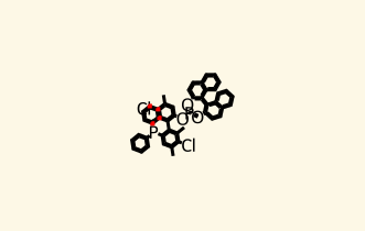 Cc1cc(Op2oc3ccc4ccccc4c3c3c(ccc4ccccc43)o2)c(-c2c(P(c3ccccc3)c3ccccc3)cc(C)c(Cl)c2C)c(C)c1Cl